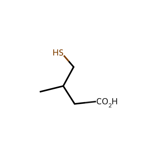 CC(CS)CC(=O)O